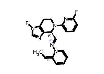 C/C=C1/C=CC=CN1/N=C/[C@H]1c2ncn(F)c2CCN1c1cccc(F)n1